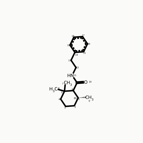 C[C@@H]1CCCC(C)(C)C1C(=O)NCCc1ccccc1